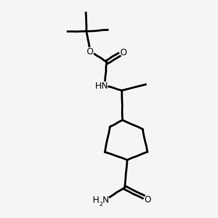 CC(NC(=O)OC(C)(C)C)C1CCC(C(N)=O)CC1